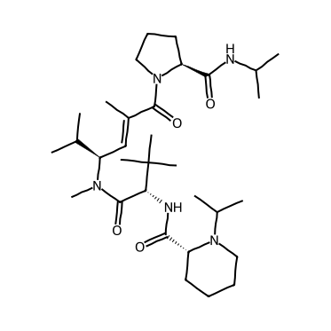 C/C(=C\[C@H](C(C)C)N(C)C(=O)[C@@H](NC(=O)[C@H]1CCCCN1C(C)C)C(C)(C)C)C(=O)N1CCC[C@H]1C(=O)NC(C)C